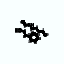 O=CCCCNC=O.OCCc1ccccc1